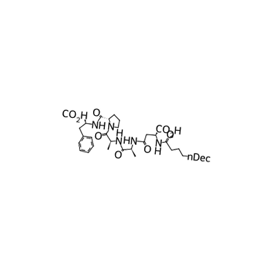 CCCCCCCCCCCCCC(=O)N[C@@H](CC(=O)N[C@@H](C)C(=O)N[C@@H](C)C(=O)N1CCC[C@H]1C(=O)N[C@@H](Cc1ccccc1)C(=O)O)C(=O)O